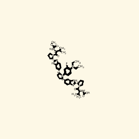 CCN(CC)c1ccc(N2[C@@H](c3ccc4nc([C@@H]5CCCN5C(=O)[C@@H](NC(=O)O)C(C)C)[nH]c4c3)CC[C@@H]2c2ccc3nc([C@@H]4CCCN4C(=O)[C@@H](NC(=O)OC)C(C)C)[nH]c3c2)cc1F